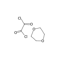 C1COCCO1.O=C(Cl)C(=O)Cl